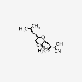 C=C/C(=C\C=C(C)C)O/C(C=C)=C/C(=C\C)C(O)C#N